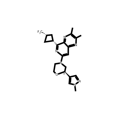 Cc1nc2cc(N3CCO[C@H](c4cnn(C)c4)C3)nc([C@H]3C[C@@H](C(F)(F)F)C3)c2nc1C